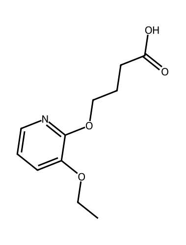 CCOc1cccnc1OCCCC(=O)O